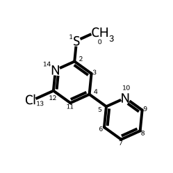 CSc1cc(-c2ccccn2)cc(Cl)n1